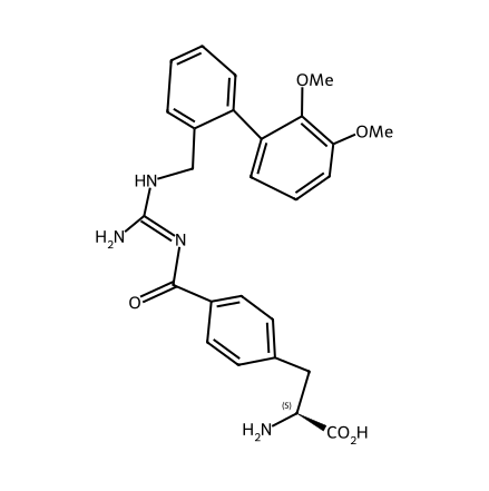 COc1cccc(-c2ccccc2CNC(N)=NC(=O)c2ccc(C[C@H](N)C(=O)O)cc2)c1OC